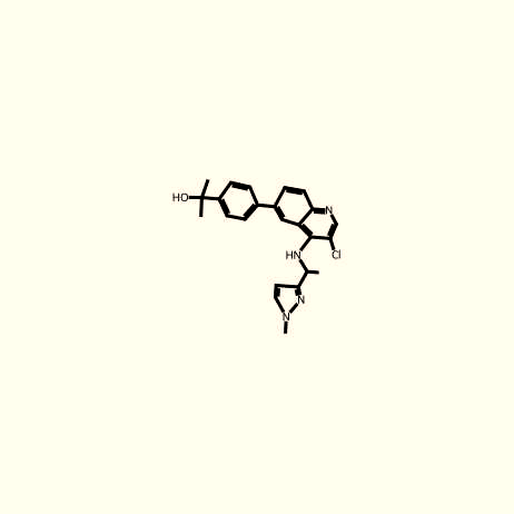 CC(Nc1c(Cl)cnc2ccc(-c3ccc(C(C)(C)O)cc3)cc12)c1ccn(C)n1